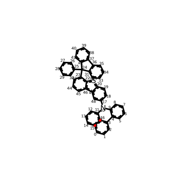 c1ccc(-c2ccccc2N(c2ccccc2)c2ccc3sc4c(C5(c6ccccc6)c6ccccc6-c6ccccc65)cccc4c3c2)cc1